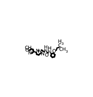 COc1ccc(-c2ccc3nc(NC(=O)Nc4ccccc4OCCC(C)C)cn3n2)cn1